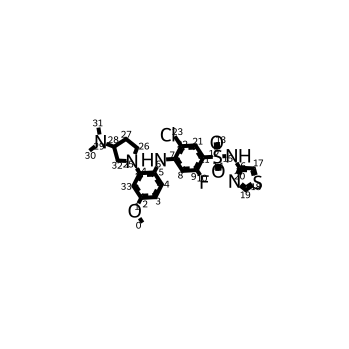 COc1ccc(Nc2cc(F)c(S(=O)(=O)Nc3cscn3)cc2Cl)c(N2CCC(N(C)C)C2)c1